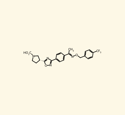 C/C(=N\OCc1ccc(C(F)(F)F)cc1)c1ccc(-c2noc([C@@H]3CCN(C(=O)O)C3)n2)cc1